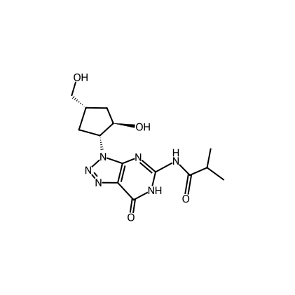 CC(C)C(=O)Nc1nc2c(nnn2[C@@H]2C[C@H](CO)C[C@H]2O)c(=O)[nH]1